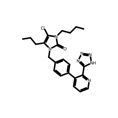 CCCCn1c(Cl)c(CCC)n(Cc2ccc(-c3cccnc3-c3nnn[nH]3)cc2)c1=O